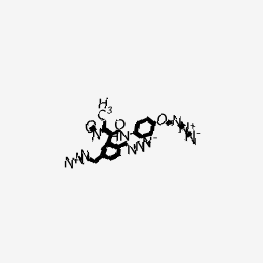 CC/C(N=O)=C(\C(=O)N[C@H]1CC[C@@H](OCN=[N+]=[N-])CC1)c1cc(CN=[N+]=[N-])ccc1CN=[N+]=[N-]